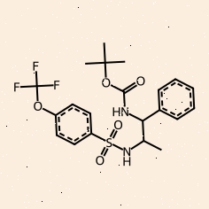 CC(NS(=O)(=O)c1ccc(OC(F)(F)F)cc1)C(NC(=O)OC(C)(C)C)c1ccccc1